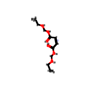 CCOCOC(=O)/C=C\C(=O)OCOCC